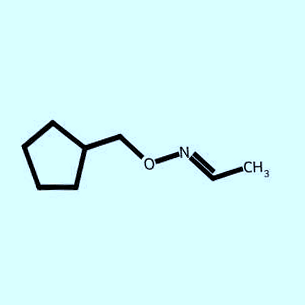 CC=NOCC1CCCC1